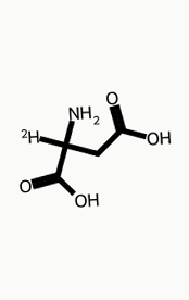 [2H]C(N)(CC(=O)O)C(=O)O